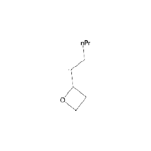 CCCC[CH]C1CCO1